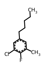 CCCCCc1cc(C)c(F)c(Cl)c1